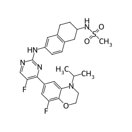 CC(C)N1CCOc2c(F)cc(-c3nc(Nc4ccc5c(c4)CCC(NS(C)(=O)=O)C5)ncc3F)cc21